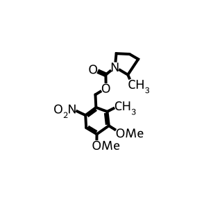 COc1cc([N+](=O)[O-])c(COC(=O)N2CCCC2C)c(C)c1OC